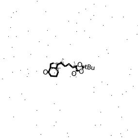 C[C@H](CCC[C@@]1(C)O[C@H](C(C)(C)C)OC1=O)[C@H]1CCC2C(=O)CCC[C@@]21C